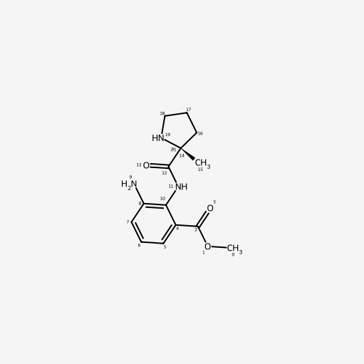 COC(=O)c1cccc(N)c1NC(=O)[C@@]1(C)CCCN1